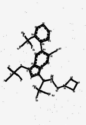 CC(C)(C)Cn1cc(C(NSN2CCC2)C(F)(F)F)c2cc(F)c(-c3ccccc3C(F)(F)F)cc21